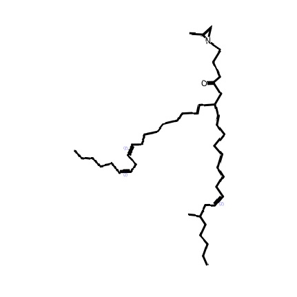 CCCCC/C=C\C/C=C\CCCCCCCCC(CCCCCCCC/C=C\CC(C)CCCCC)CC(=O)CCCN1CC1C